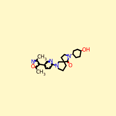 Cc1noc(C)c1-c1ccc(N2CCCC3(CCN([C@H]4CC[C@H](O)CC4)C3=O)C2)nc1